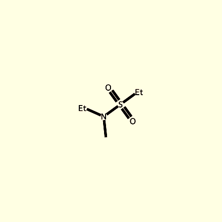 CCN(C)S(=O)(=O)CC